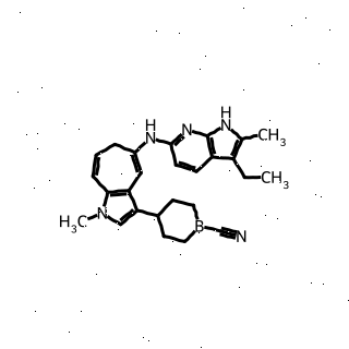 CCc1c(C)[nH]c2nc(NC3=Cc4c(C5CCB(C#N)CC5)cn(C)c4C=CC3)ccc12